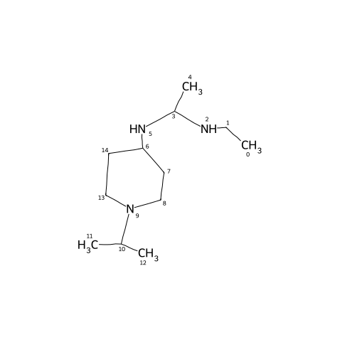 CCNC(C)NC1CCN(C(C)C)CC1